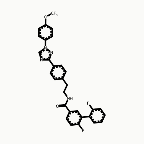 O=C(NCCc1ccc(-c2ncn(-c3ccc(OC(F)(F)F)cc3)n2)cc1)c1ccc(F)c(-c2ccccc2F)c1